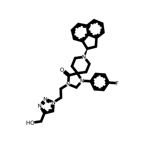 O=C1N(CCn2cc(CO)nn2)CN(c2ccc(F)cc2)C12CCN([C@@H]1Cc3cccc4cccc1c34)CC2